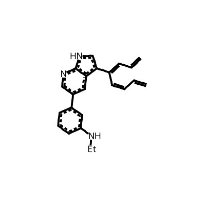 C=C/C=C\C(=C/C=C)c1c[nH]c2ncc(-c3cccc(NCC)c3)cc12